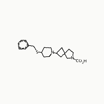 O=C(O)N1CCC2(CC(N3CCC(SCc4ccccc4)CC3)C2)C1